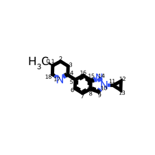 C[C@H]1CCC(c2ccc3cn(C4CC4)nc3c2)=NC1